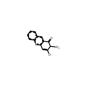 O=C1c2cc3ccccc3nc2C=C(Cl)C1[N+](=O)[O-]